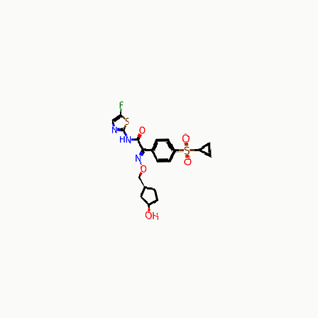 O=C(Nc1ncc(F)s1)/C(=N/OC[C@H]1CCC(O)C1)c1ccc(S(=O)(=O)C2CC2)cc1